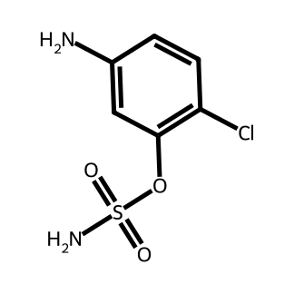 Nc1ccc(Cl)c(OS(N)(=O)=O)c1